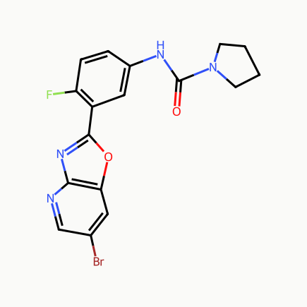 O=C(Nc1ccc(F)c(-c2nc3ncc(Br)cc3o2)c1)N1CCCC1